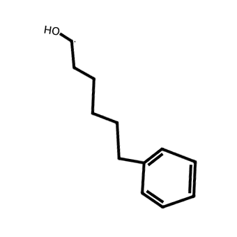 O[CH]CCCCCc1ccccc1